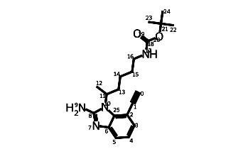 C#Cc1cccc2nc(N)n(C(C)CCCCNC(=O)OC(C)(C)C)c12